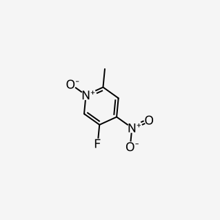 Cc1cc([N+](=O)[O-])c(F)c[n+]1[O-]